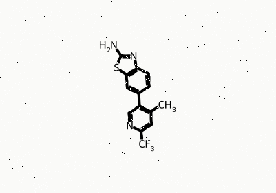 Cc1cc(C(F)(F)F)ncc1-c1ccc2nc(N)sc2c1